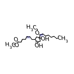 CCCCCC/C=C(/OCC)[C@]1(O)CC(C/C=C\CCCC(=O)OC)[C@@H](O)C1